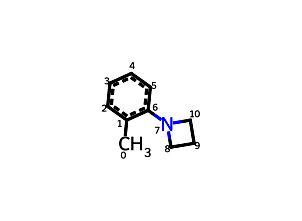 Cc1ccccc1N1CCC1